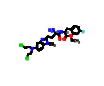 CCOC(=O)[C@H](Cc1ccc(F)cc1)NC(=O)[C@@H](N)CCc1nc2cc(N(CCCl)CCCl)ccc2n1C